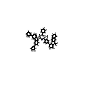 CC1(C)c2cc3ccccc3cc2-c2c(-c3ccc(/C(=C/Cn4c5ccc(-c6ccccc6)cc5c5cc(-c6ccccc6)ccc54)NC(N)c4ccccc4)cc3)cccc21